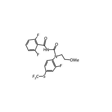 COCCN(C(=O)NC(=O)c1c(F)cccc1F)c1ccc(SC(F)(F)F)cc1F